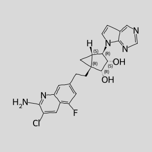 Nc1nc2cc(CC[C@@]34C[C@@H]3[C@@H](n3ccc5cncnc53)[C@H](O)[C@@H]4O)cc(F)c2cc1Cl